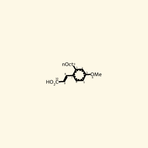 CCCCCCCCc1cc(OC)ccc1C=CC(=O)O